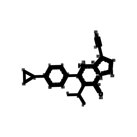 CC(C)c1c(-c2ccc(C3CC3)cc2)[nH]c2c(C#N)cnn2c1=O